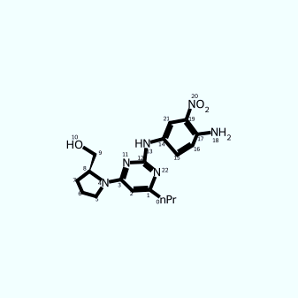 CCCc1cc(N2CCC[C@H]2CO)nc(Nc2ccc(N)c([N+](=O)[O-])c2)n1